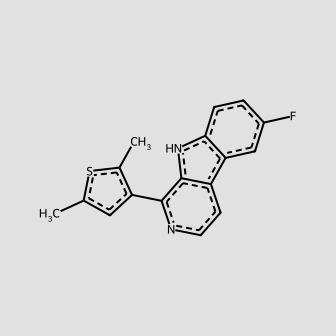 Cc1cc(-c2nccc3c2[nH]c2ccc(F)cc23)c(C)s1